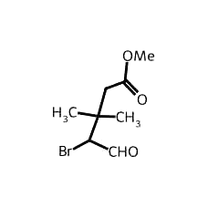 COC(=O)CC(C)(C)C(Br)C=O